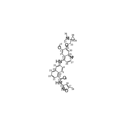 COc1cc2c(Nc3ccc4c(C(=O)Nc5cc(C)on5)cccc4c3)ccnc2cc1OCC1(N(C)C)CC1